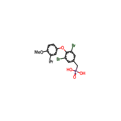 COc1ccc(Oc2c(Br)cc(CP(=O)(O)O)cc2Br)cc1C(C)C